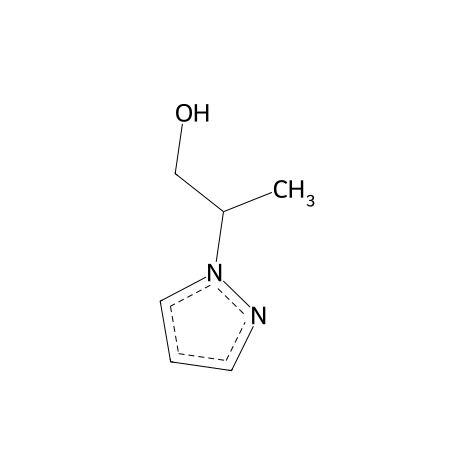 CC(CO)n1cccn1